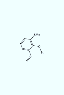 C=[C]c1cccc(SC)c1OCC